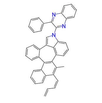 C=C/C=C\c1c(C)c2c(c3ccccc13)-c1ccccc1-c1cn(-c3nc4ccccc4nc3-c3ccccc3)c3cccc-2c13